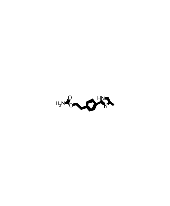 CC1CNC(c2ccc(CCOC(N)=O)cc2)=N1